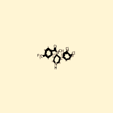 CN(C(=O)c1ccc(C(F)(F)F)cc1)[C@@H]1CCNC[C@H]1c1ccc(Cl)c(Cl)c1